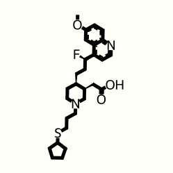 COc1ccc2nccc([C@H](F)CC[C@@H]3CCN(CCCSC4CCCC4)C[C@@H]3CC(=O)O)c2c1